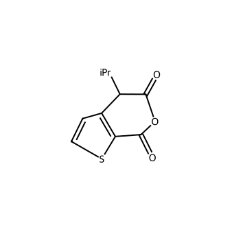 CC(C)C1C(=O)OC(=O)c2sccc21